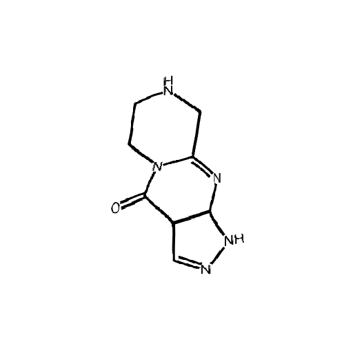 O=C1C2C=NNC2N=C2CNCCN12